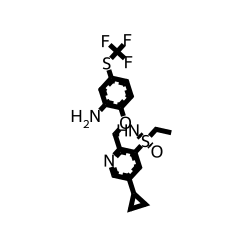 CCS(=N)(=O)c1cc(C2CC2)cnc1COc1ccc(SC(F)(F)F)cc1N